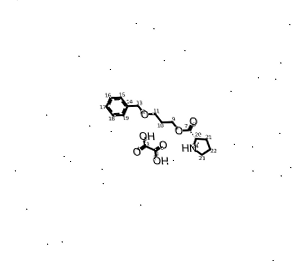 O=C(O)C(=O)O.O=C(OCCCOCc1ccccc1)[C@@H]1CCCN1